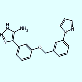 Nc1[nH]nnc1-c1cccc(OCc2cccc(-n3cccn3)c2)c1